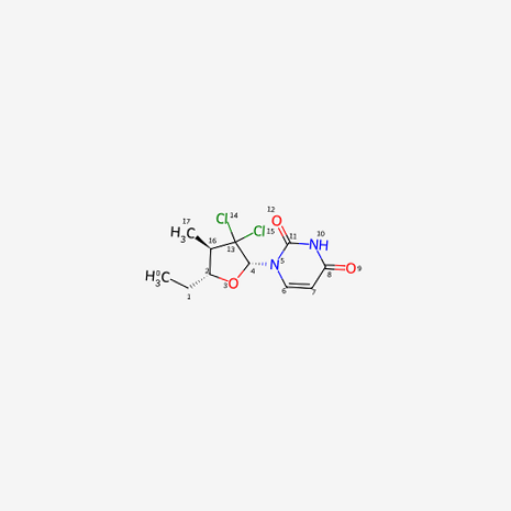 CC[C@H]1O[C@@H](n2ccc(=O)[nH]c2=O)C(Cl)(Cl)[C@@H]1C